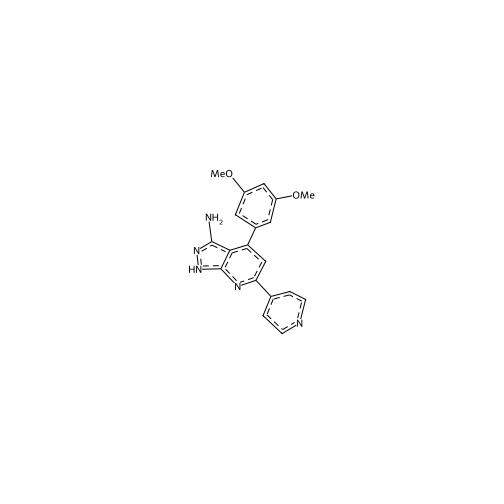 COc1cc(OC)cc(-c2cc(-c3ccncc3)nc3[nH]nc(N)c23)c1